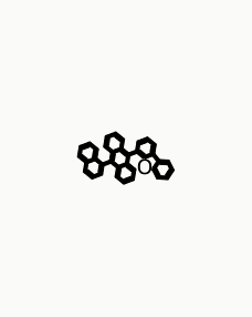 c1ccc2c(-c3c4ccccc4c(-c4cccc5c4oc4ccccc45)c4ccccc34)cccc2c1